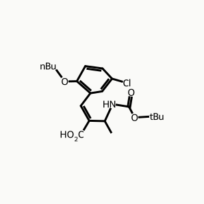 CCCCOc1ccc(Cl)cc1C=C(C(=O)O)C(C)NC(=O)OC(C)(C)C